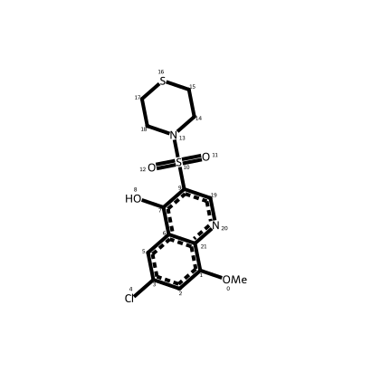 COc1cc(Cl)cc2c(O)c(S(=O)(=O)N3CCSCC3)cnc12